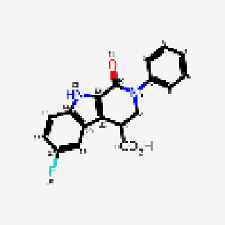 O=C(O)C1CN(c2ccccc2)C(=O)c2[nH]c3ccc(F)cc3c21